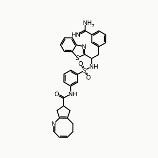 N=C(N)c1cccc(CC(NS(=O)(=O)c2cccc(NC(=O)C3CC4=C(C3)/N=C\C=C/CC4)c2)c2nc3ccccc3s2)c1